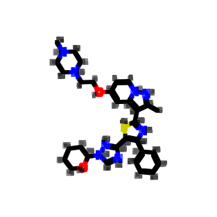 Cc1nn2ccc(OCCN3CCN(C)CC3)cc2c1-c1nc(-c2ccccc2)c(-c2ncn(C3CCCCO3)n2)s1